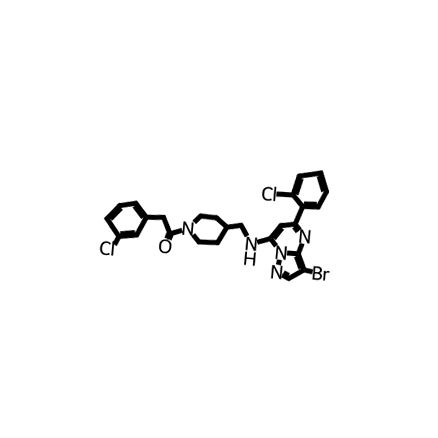 O=C(Cc1cccc(Cl)c1)N1CCC(CNc2cc(-c3ccccc3Cl)nc3c(Br)cnn23)CC1